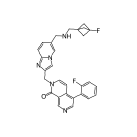 O=c1c2cncc(-c3ccccc3F)c2ccn1Cc1cn2cc(CNCC34CC(F)(C3)C4)ccc2n1